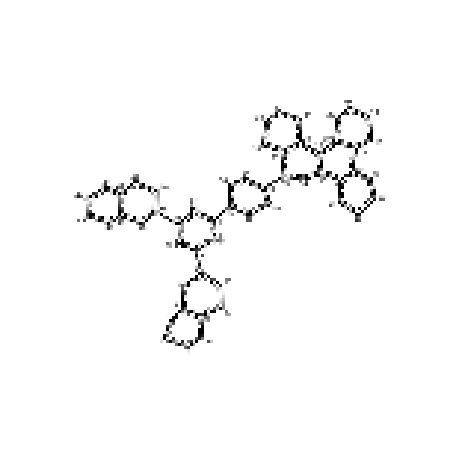 c1ccc2cc(-c3nc(-c4ccc(-c5cc6c7ccccc7c7ccccc7c6c6ccccc56)cc4)nc(-c4ccc5ccccc5c4)n3)ccc2c1